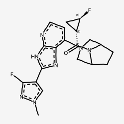 Cn1cc(-c2nc3c(N4CC5CCC(C4)N5C(=O)[C@@H]4C[C@H]4F)ccnc3[nH]2)c(F)n1